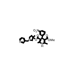 COC(=O)C1=C(C)NC(C)=C(C(=O)OC2(C)CCN(Cc3cccnc3)C2)C1c1cccc([N+](=O)[O-])c1